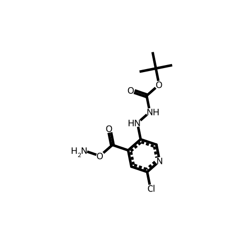 CC(C)(C)OC(=O)NNc1cnc(Cl)cc1C(=O)ON